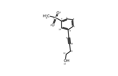 CS(=O)(=O)c1cccc(C#CCCO)c1